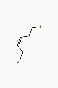 CC/C=C\CCBr